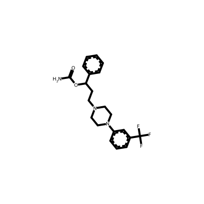 NC(=O)OC(CCN1CCN(c2cccc(C(F)(F)F)c2)CC1)c1ccccc1